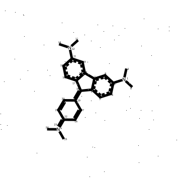 CN(C)c1ccc2c(c1)-c1cc(N(C)C)ccc1C2=C1C=CC(=[N+](C)C)C=C1